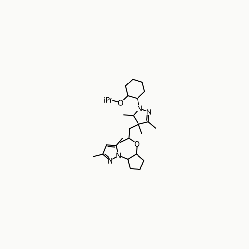 CC1=NN(C2CCCCC2OC(C)C)C(C)C1(C)CC(C)OC1CCCC1n1nc(C)cc1C